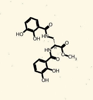 COC(=O)[C@@H](CNC(=O)c1cccc(O)c1O)NC(=O)c1cccc(O)c1O